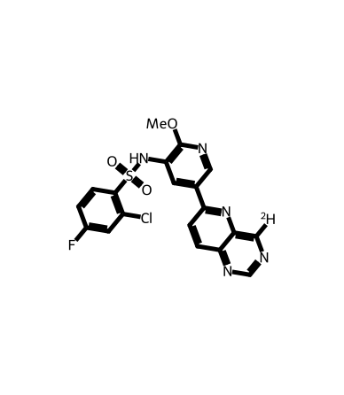 [2H]c1ncnc2ccc(-c3cnc(OC)c(NS(=O)(=O)c4ccc(F)cc4Cl)c3)nc12